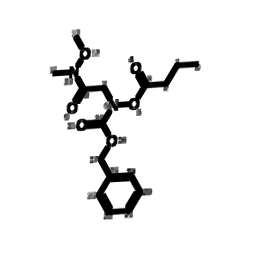 CCCC(=O)ON(CC(=O)N(C)OC)C(=O)OCc1ccccc1